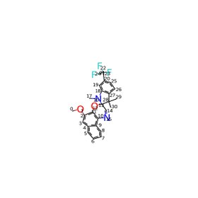 COc1cc2ccccc2c2c1OC1(C=N2)N(C)c2cc(C(F)(F)F)ccc2C1(C)C